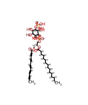 CC#CC#CC#CC#CC#CC(=O)OC[C@H](COP(=O)(O)OC1C(O)[C@H](O)[C@H](O)C(OP(=O)(O)O)[C@@H]1O)OC(=O)CCCCCCCCCCCCCCC